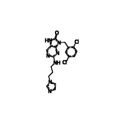 O=c1[nH]c2cnc(NCCCn3ccnc3)nc2n1Cc1cc(Cl)ccc1Cl